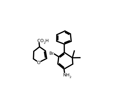 CC1(C)CC(N)=CC(Br)=C1c1ccccc1.O=C(O)C1C=COCC1